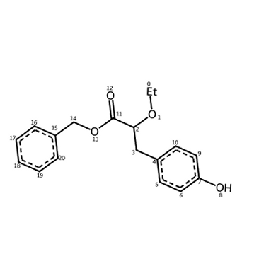 CCOC(Cc1ccc(O)cc1)C(=O)OCc1ccccc1